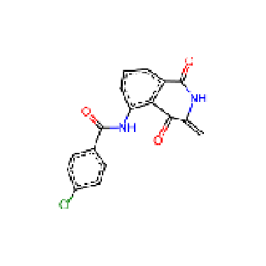 C=C1NC(=O)c2cccc(NC(=O)c3ccc(Cl)cc3)c2C1=O